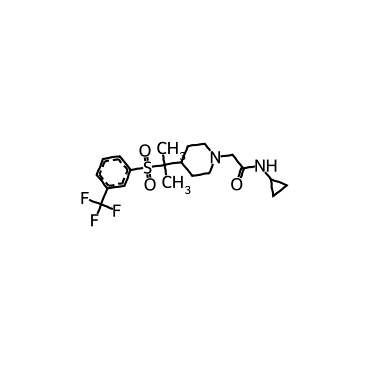 CC(C)(C1CCN(CC(=O)NC2CC2)CC1)S(=O)(=O)c1cccc(C(F)(F)F)c1